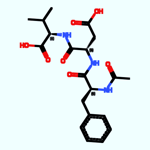 CC(=O)N[C@@H](Cc1ccccc1)C(=O)N[C@@H](CC(=O)O)C(=O)N[C@H](C(=O)O)C(C)C